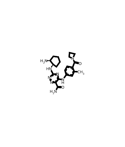 Cc1cc(Nc2nc(N[C@@H]3CCCC[C@@H]3N)nnc2C(N)=O)ccc1C(=O)N1CCC1